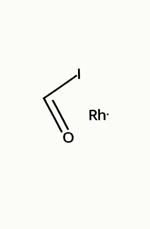 O=CI.[Rh]